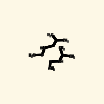 CC(C)[CH2][AlH][O][AlH2].C[CH](C)[AlH][O][AlH2]